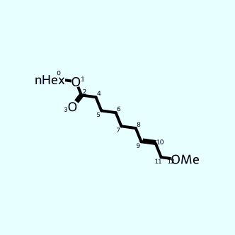 CCCCCCOC(=O)CCCCCC=CCOC